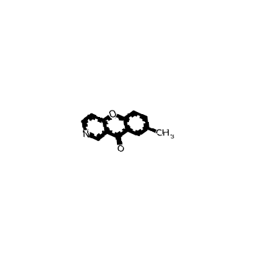 Cc1ccc2oc3ccncc3c(=O)c2c1